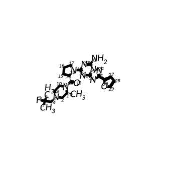 C[C@@H]1CN(CC(C)(C)F)CCN1C(=O)[C@@H]1CCCN1c1nc(N)n2nc(-c3ccco3)nc2n1